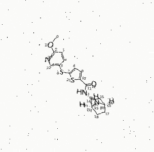 COc1ccc(Sc2ccc(C(=O)N[C@@H]3C[C@H]4CC[C@@H]3N4)s2)cn1